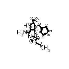 CCCS(=O)(=O)c1nc(N)c2c(n1)N(Cc1ccccc1)C(C=O)N2